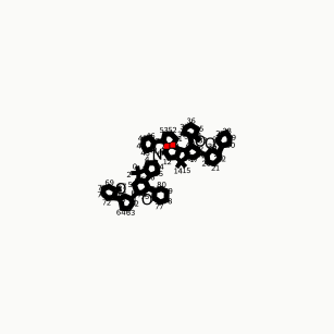 CC1(C)c2cc(N(c3ccc4c(c3)C(C)(C)c3cc(-c5cccc6c5oc5ccccc56)c5oc6ccccc6c5c3-4)c3ccccc3-c3ccccc3)ccc2-c2c1cc(-c1cccc3c1oc1ccccc13)c1oc3ccccc3c21